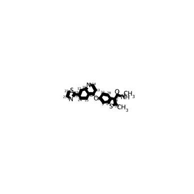 CNC(=O)c1c(C)sc2cc(Oc3ccnc4cc(-c5nccs5)ccc34)ccc12